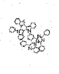 c1ccc(-c2nc(-c3ccccc3)nc(-c3cc(-n4c5ccccc5c5c6sc7ccccc7c6c6c(c7ccccc7n6-c6ccccc6)c54)ccc3-c3nc4ccccc4nc3-c3ccccc3)n2)cc1